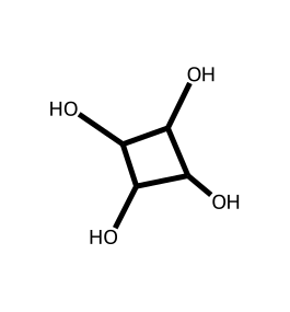 OC1C(O)C(O)C1O